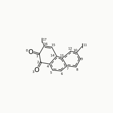 O=C1C(=O)c2ccc3ccc(I)cc3c2C=C1I